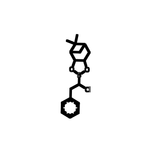 CC1(C)C2CC3OB(C(Cl)Cc4ccccc4)OC3C1C2